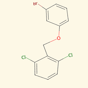 Clc1cccc(Cl)c1COc1cccc(Br)c1